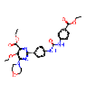 CCOC(=O)c1ccc(NC(=O)Nc2ccc(-c3nc(C(=O)OCC)c(OCC)c(N4CCOCC4)n3)cc2)cc1